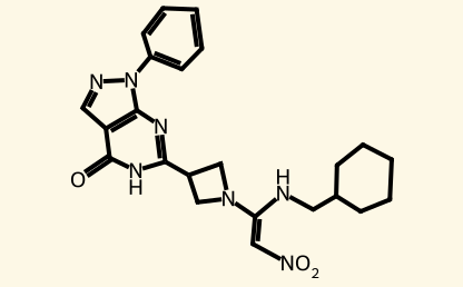 O=c1[nH]c(C2CN(C(=C[N+](=O)[O-])NCC3CCCCC3)C2)nc2c1cnn2-c1ccccc1